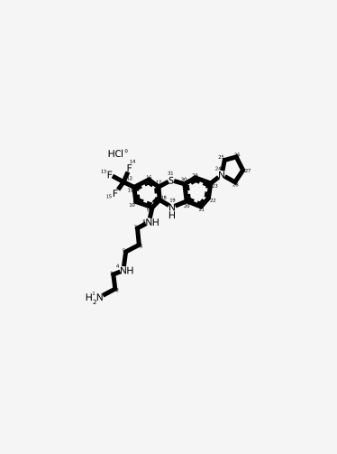 Cl.NCCNCCCNc1cc(C(F)(F)F)cc2c1Nc1ccc(N3CCCC3)cc1S2